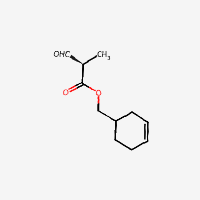 C[C@H](C=O)C(=O)OCC1CC=CCC1